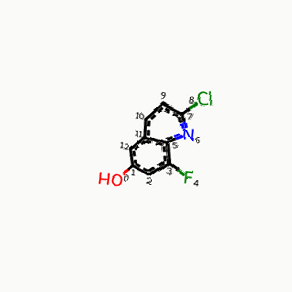 Oc1cc(F)c2nc(Cl)ccc2c1